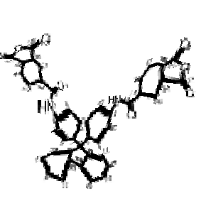 O=C(Nc1ccc(C2(c3ccc(NC(=O)C4CCC5C(=O)OC(=O)C5C4)cc3)c3ccccc3-c3ccccc32)cc1)C1CCC2C(=O)OC(=O)C2C1